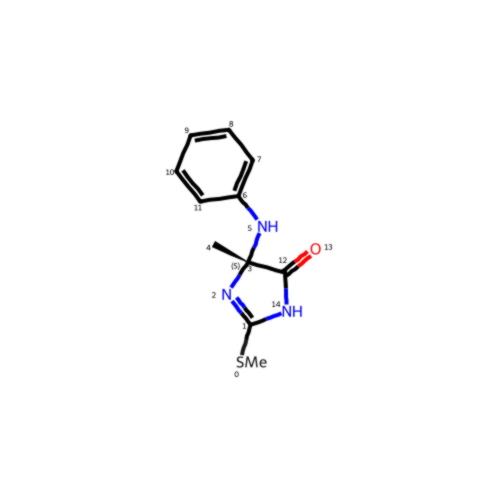 CSC1=N[C@](C)(Nc2ccccc2)C(=O)N1